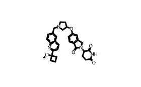 COC1(c2ccc3cc(CN4CCC(Oc5ccc6c(c5)CN(C5CCC(=O)NC5=O)C6=O)C4)ccc3n2)CCC1